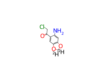 [2H]C1([2H])Oc2cc(N)c(C(=O)CCl)cc2O1